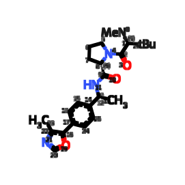 CN[C@H](C(=O)N1CCC[C@H]1C(=O)N[C@@H](C)c1ccc(-c2ocnc2C)cc1)C(C)(C)C